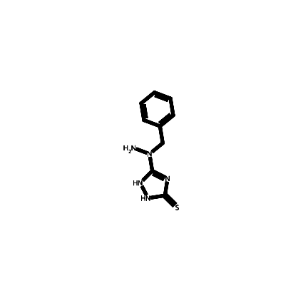 NN(Cc1ccccc1)c1nc(=S)[nH][nH]1